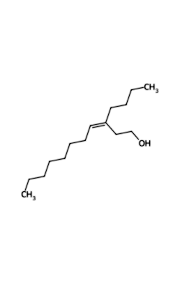 CCCCCCCC=C(CCO)CCCC